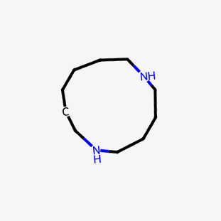 C1CCCNCCCCNCC1